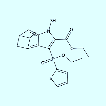 CCOC(=O)c1c(P(=O)(OCC)c2cccs2)c2c(n1S)=CC1CC=2C1Cl